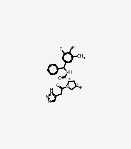 Cc1cc(C(NC(=O)[C@@H]2C[C@@H](F)CN2C(=O)Cc2cnn[nH]2)c2ccccc2)cc(F)c1C(C)C